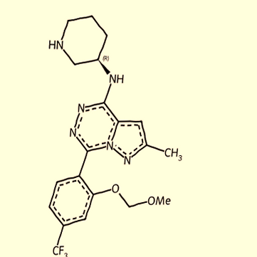 COCOc1cc(C(F)(F)F)ccc1-c1nnc(N[C@@H]2CCCNC2)c2cc(C)nn12